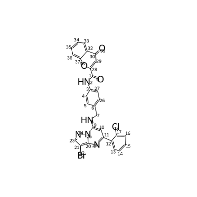 O=C(Nc1ccc(CNc2cc(-c3ccccc3Cl)nc3c(Br)cnn23)cc1)c1cc(=O)c2ccccc2o1